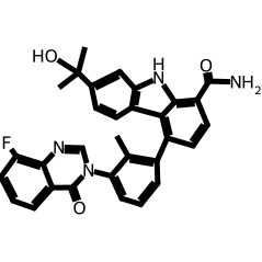 Cc1c(-c2ccc(C(N)=O)c3[nH]c4cc(C(C)(C)O)ccc4c23)cccc1-n1cnc2c(F)cccc2c1=O